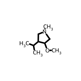 COC1CN(C)CC1C(C)C